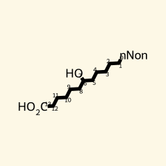 CCCCCCCCCCCCCCC(O)CCCCCC(=O)O